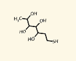 CC(O)C(O)C(O)C(O)CCS